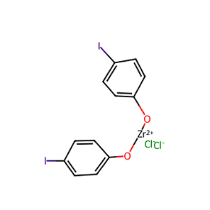 Ic1ccc([O][Zr+2][O]c2ccc(I)cc2)cc1.[Cl-].[Cl-]